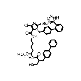 CCCCc1nc(Cl)c(C(=O)NCCCCC(NC(=O)C(CS)Cc2ccc(-c3ccccc3)cc2)C(=O)O)n1Cc1ccc(-c2ccccc2-c2nnn[nH]2)cc1